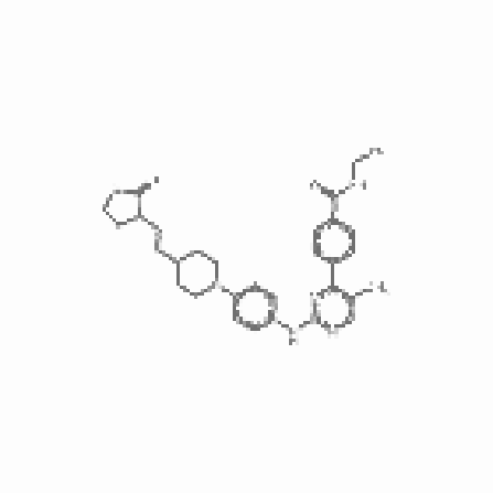 Cc1cnc(Nc2ccc(N3CCC(CSC4CCOC4=O)CC3)cc2)nc1-c1ccc(C(=O)NCC#N)cc1